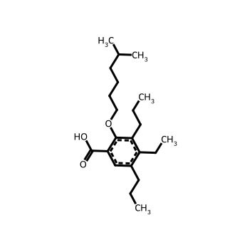 CCCc1cc(C(=O)O)c(OCCCCC(C)C)c(CCC)c1CC